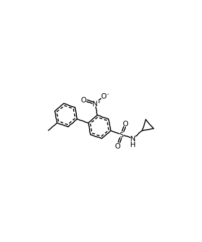 Cc1cccc(-c2ccc(S(=O)(=O)NC3CC3)cc2[N+](=O)[O-])c1